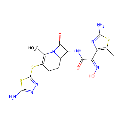 Cc1sc(N)nc1/C(=N/O)C(=O)N[C@H]1C(=O)N2C(C(=O)O)=C(Sc3nnc(N)s3)CCC12